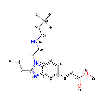 CCCc1nc2cc(/C=C/C(=O)OC)ccc2n1CCNCCC(C)(C)C